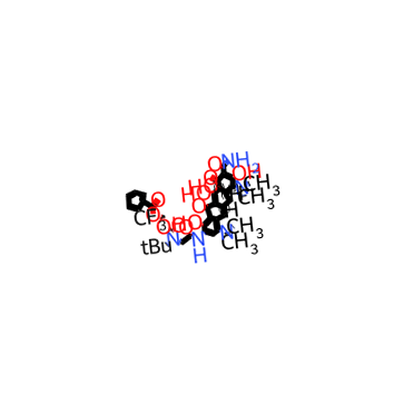 CN(C)c1cc(NC(=O)CN(C(=O)OCOC(=O)c2ccccc2C(F)(F)F)C(C)(C)C)c(O)c2c1C[C@H]1C[C@H]3[C@H](N(C)C)C(O)=C(C(N)=O)C(=O)[C@@]3(O)C(O)=C1C2=O